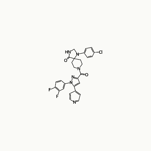 O=C(c1cc(-c2ccncc2)n(-c2ccc(F)c(F)c2)n1)N1CCC2(CC1)C(=O)NCN2c1ccc(Cl)cc1